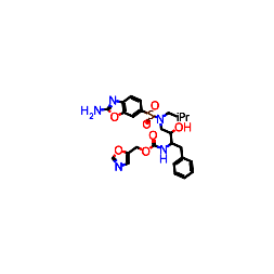 CC(C)CN(CC(O)C(Cc1ccccc1)NC(=O)OCc1cnco1)S(=O)(=O)c1ccc2nc(N)oc2c1